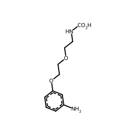 Nc1cccc(OCCOCCNC(=O)O)c1